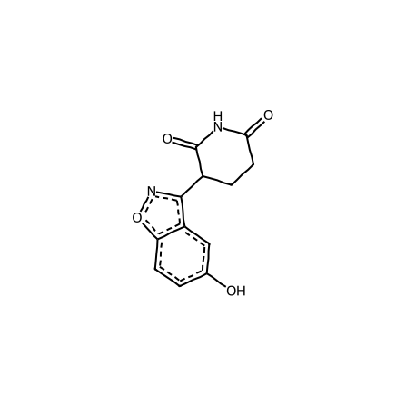 O=C1CCC(c2noc3ccc(O)cc23)C(=O)N1